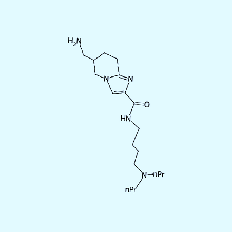 CCCN(CCC)CCCCNC(=O)c1cn2c(n1)CCC(CN)C2